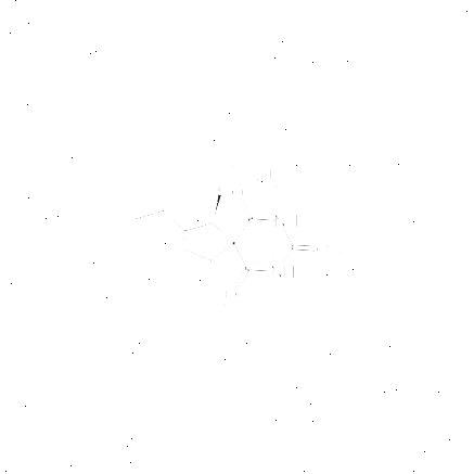 CCC[C@@H](C)C1(CC)C(=O)NC(=O)NC1=O.[CaH2]